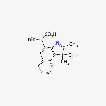 CCCC(c1cc2ccccc2c2c1N=C(C)C2(C)C)S(=O)(=O)O